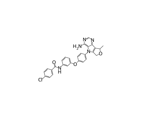 CC1OCc2c1c1ncnc(N)c1n2-c1ccc(Oc2cccc(NC(=O)c3ccc(Cl)cc3)c2)cc1